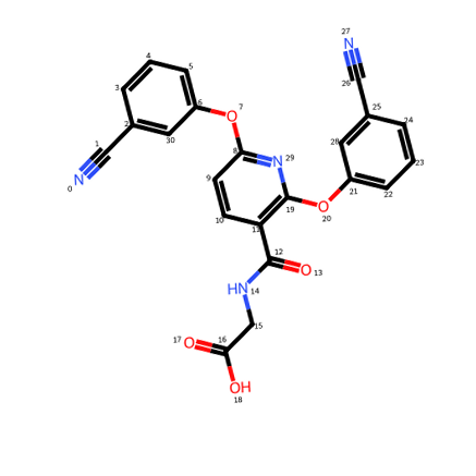 N#Cc1cccc(Oc2ccc(C(=O)NCC(=O)O)c(Oc3cccc(C#N)c3)n2)c1